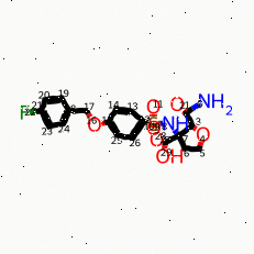 NC(=O)C1OCCC1(NS(=O)(=O)c1ccc(OCc2ccc(F)cc2)cc1)C(=O)O